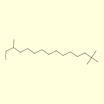 [CH2]CC(C)CCCCCCCCCCC(C)(C)C